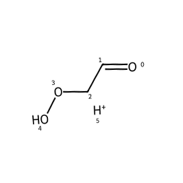 O=CCOO.[H+]